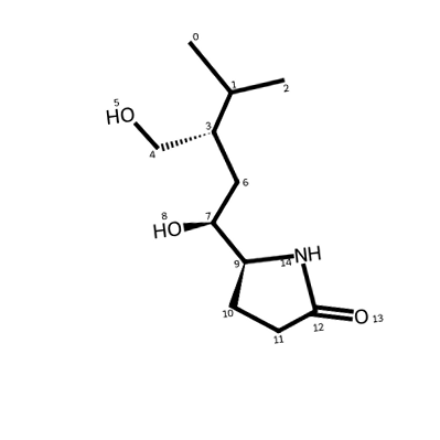 CC(C)[C@@H](CO)C[C@H](O)[C@@H]1CCC(=O)N1